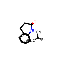 CCC(C#N)C(=O)O.O=C1CCc2ccccc2N1